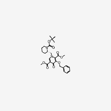 COC(=O)c1cn(C[C@@H]2CCCCN2C(=O)OC(C)(C)C)c(C(=O)OC)c(OCc2ccccc2)c1=O